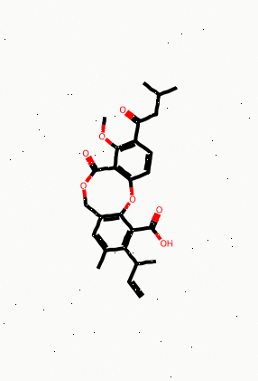 C=CC(C)c1c(C)cc2c(c1C(=O)O)Oc1ccc(C(=O)CC(C)C)c(OC)c1C(=O)OC2